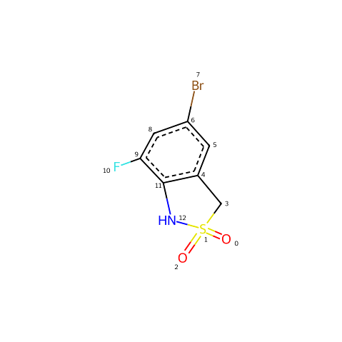 O=S1(=O)Cc2cc(Br)cc(F)c2N1